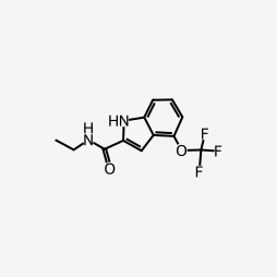 CCNC(=O)c1cc2c(OC(F)(F)F)cccc2[nH]1